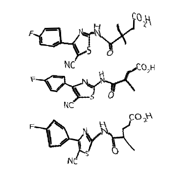 CC(C)(CC(=O)O)C(=O)Nc1nc(-c2ccc(F)cc2)c(C#N)s1.CC(CC(=O)O)C(=O)Nc1nc(-c2ccc(F)cc2)c(C#N)s1.CC(CCC(=O)O)C(=O)Nc1nc(-c2ccc(F)cc2)c(C#N)s1